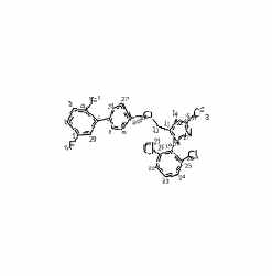 Fc1ccc(F)c(-c2ccc(OCc3cc(C(F)(F)F)nn3-c3c(Cl)cccc3Cl)cc2)c1